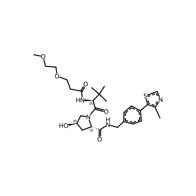 COCCOCCC(=O)N[C@H](C(=O)N1C[C@H](O)C[C@H]1C(=O)NCc1ccc(-c2scnc2C)cc1)C(C)(C)C